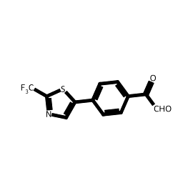 O=CC(=O)c1ccc(-c2cnc(C(F)(F)F)s2)cc1